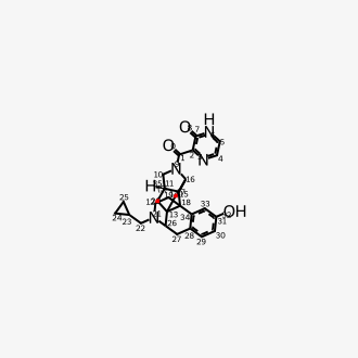 O=C(c1ncc[nH]c1=O)N1C[C@H]2CC34CCC1C2C31CCN(CC2CC2)C4Cc2ccc(O)cc21